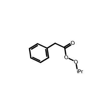 CC(C)OOC(=O)Cc1ccccc1